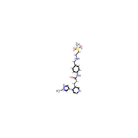 Cn1cc(-c2ccncc2CCC(=O)Nc2ccc(CNCCS(C)(=O)=O)cc2)cn1